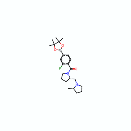 C[C@@H]1CCCN1C[C@@H]1CCCN1C(=O)c1ccc(B2OC(C)(C)C(C)(C)O2)cc1F